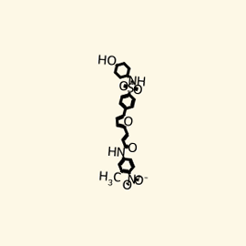 Cc1cc(NC(=O)/C=C/c2ccc(-c3ccc(S(=O)(=O)NC4CCC(O)CC4)cc3)o2)ccc1[N+](=O)[O-]